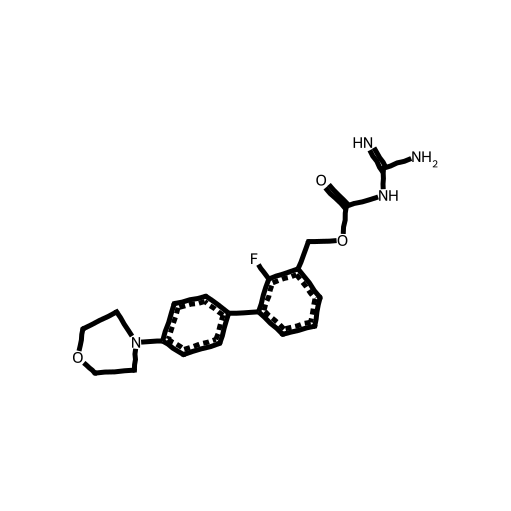 N=C(N)NC(=O)OCc1cccc(-c2ccc(N3CCOCC3)cc2)c1F